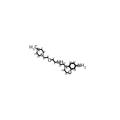 CN1CCN(CCOCCNCCN2CCOc3cc(N)ccc32)CC1